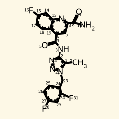 Cc1c(NC(=O)c2cc(C(N)=O)nc3cc(F)ccc23)nnn1Cc1ccc(F)cc1F